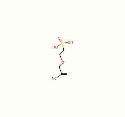 C=C(C#N)COCCP(=O)(O)O